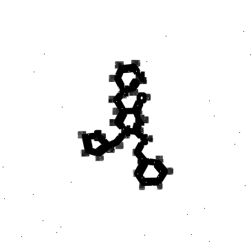 O=c1nc(SCc2ccccc2)n(Cc2cccs2)cc1CN1C=NC=CC1